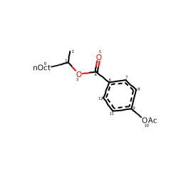 CCCCCCCCC(C)OC(=O)c1ccc(OC(C)=O)cc1